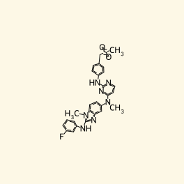 CN(c1ccc2c(c1)nc(Nc1cccc(F)c1)n2C)c1ccnc(Nc2ccc(CS(C)(=O)=O)cc2)n1